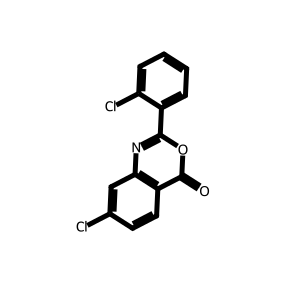 O=c1oc(-c2ccccc2Cl)nc2cc(Cl)ccc12